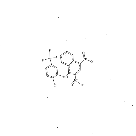 O=[N+]([O-])c1cc([N+](=O)[O-])c2ccccc2c1Nc1cc(C(F)(F)F)ccc1Cl